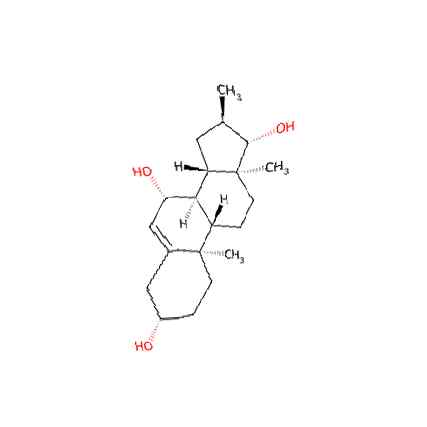 C[C@@H]1C[C@H]2[C@@H]3[C@@H](O)C=C4C[C@@H](O)CC[C@]4(C)[C@H]3CC[C@]2(C)[C@H]1O